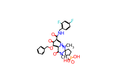 CN1C(=O)c2c(OCc3ccccc3)c(=O)c(C(=O)NCc3ccc(F)cc3F)cn2N(C)C12CC[C@H](P(=O)(O)O)C2